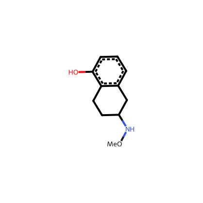 CONC1CCc2c(O)cccc2C1